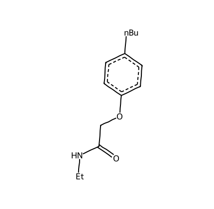 CCCCc1ccc(OCC(=O)NCC)cc1